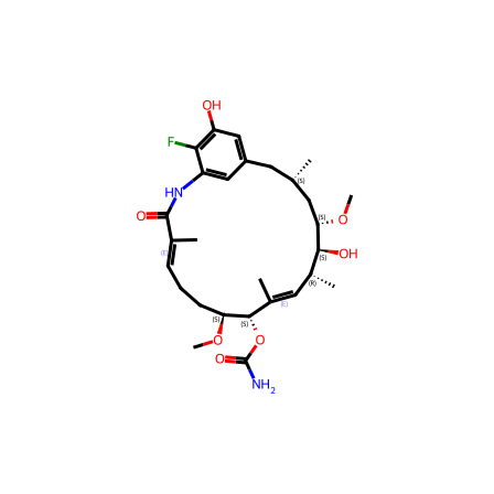 CO[C@H]1C[C@@H](C)Cc2cc(O)c(F)c(c2)NC(=O)/C(C)=C/CC[C@H](OC)[C@@H](OC(N)=O)/C(C)=C/[C@@H](C)[C@@H]1O